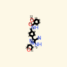 CNc1c(C#N)c(-c2ccc(CNC(=O)c3ccccc3OC)cc2)nn1C1CCOCC1